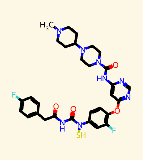 CN1CCC(N2CCN(C(=O)Nc3cc(Oc4ccc(N(S)C(=O)NC(=O)Cc5ccc(F)cc5)cc4F)ncn3)CC2)CC1